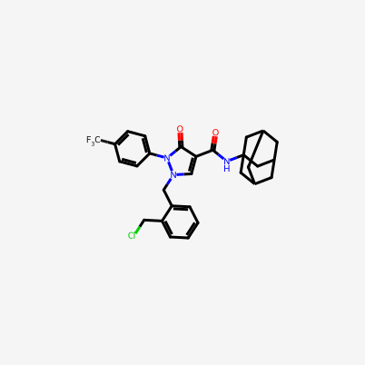 O=C(NC12CC3CC(CC(C3)C1)C2)c1cn(Cc2ccccc2CCl)n(-c2ccc(C(F)(F)F)cc2)c1=O